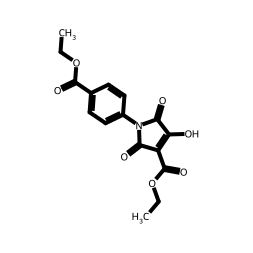 CCOC(=O)C1=C(O)C(=O)N(c2ccc(C(=O)OCC)cc2)C1=O